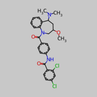 COC1CC(N(C)C)c2ccccc2N(C(=O)c2ccc(NC(=O)c3ccc(Cl)cc3Cl)cc2)C1